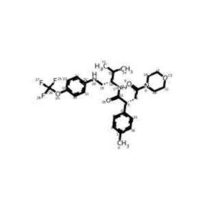 Cc1ccc([C@@H](CC(=O)N2CCOCC2)C(=O)N[C@H](CNc2ccc(OC(F)(F)F)cc2)C(C)C)cc1